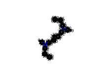 Cc1ccc(N(c2ccc(-c3cccc(-c4ccccc4)c3)cc2)c2ccc(-c3ccc4c(c3)C(C)(C)c3cc(-c5ccc(N(c6ccc(C)cc6)c6ccc(-c7cccc(-c8ccccc8)c7)cc6)cc5)ccc3-4)cc2)cc1